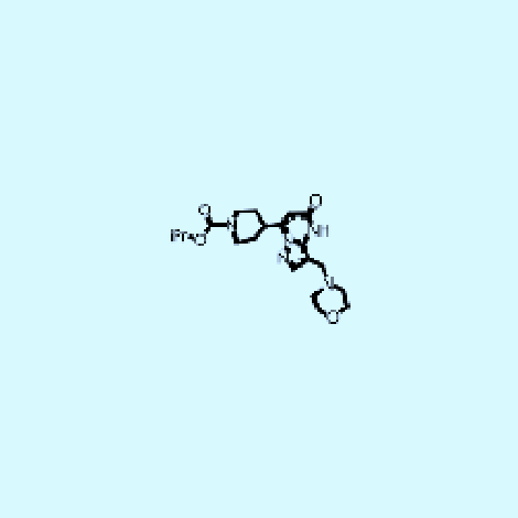 CC(C)OC(=O)N1CCC(c2cc(=O)[nH]c3c(CN4CCOCC4)cnn23)CC1